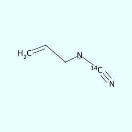 C=CC[N][14C]#N